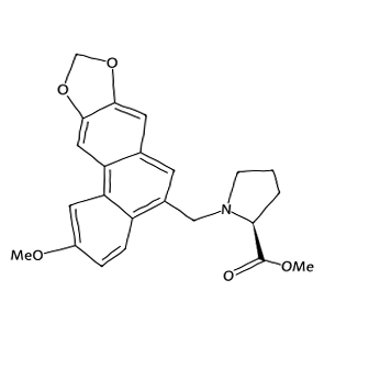 COC(=O)[C@@H]1CCCN1Cc1cc2cc3c(cc2c2cc(OC)ccc12)OCO3